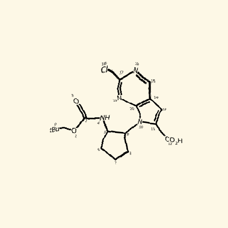 CC(C)(C)OC(=O)NC1CCCC1n1c(C(=O)O)cc2cnc(Cl)nc21